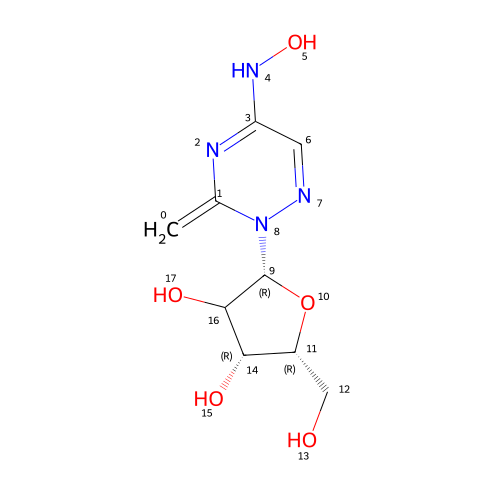 C=C1N=C(NO)C=NN1[C@@H]1O[C@H](CO)[C@H](O)C1O